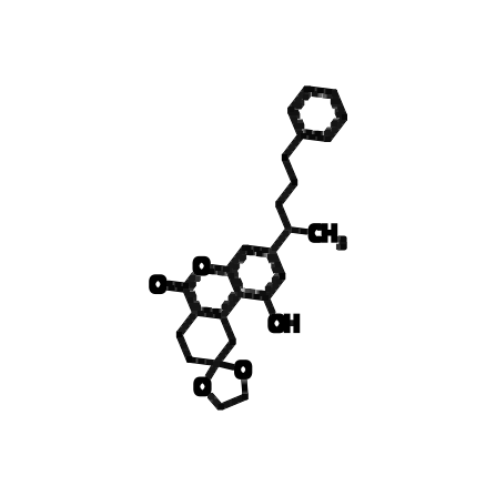 CC(CCCc1ccccc1)c1cc(O)c2c3c(c(=O)oc2c1)CCC1(C3)OCCO1